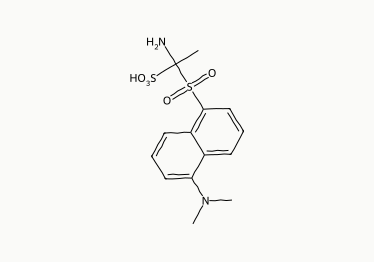 CN(C)c1cccc2c(S(=O)(=O)C(C)(N)S(=O)(=O)O)cccc12